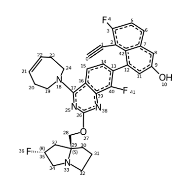 C#Cc1c(F)ccc2cc(O)cc(-c3ccc4c(N5CCC=CCC5)nc(OC[C@@]56CCCN5C[C@H](F)C6)nc4c3F)c12